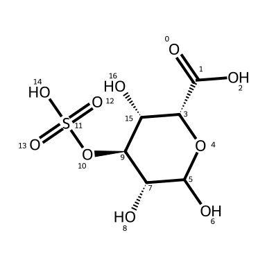 O=C(O)[C@@H]1OC(O)[C@H](O)[C@@H](OS(=O)(=O)O)[C@@H]1O